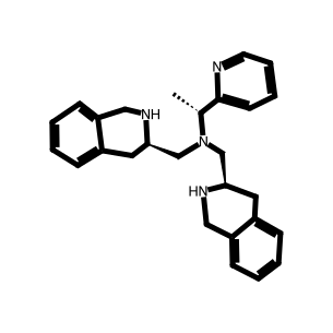 C[C@H](c1ccccn1)N(C[C@H]1Cc2ccccc2CN1)C[C@H]1Cc2ccccc2CN1